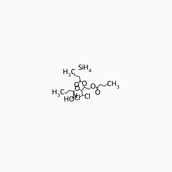 CCCC(=O)OCC(OC(=O)CCC)C(OC(CCC)=NO)C(Cl)Cl.[SiH4]